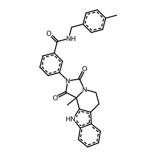 Cc1ccc(CNC(=O)c2cccc(N3C(=O)N4CCc5c([nH]c6ccccc56)C4(C)C3=O)c2)cc1